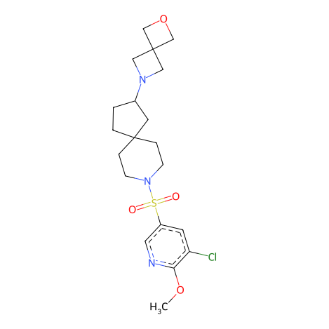 COc1ncc(S(=O)(=O)N2CCC3(CCC(N4CC5(COC5)C4)C3)CC2)cc1Cl